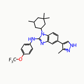 Cc1n[nH]cc1-c1ccc2c(c1)nc(Nc1ccc(OC(F)(F)F)cc1)n2C1CC(C)CC(C)(C)C1